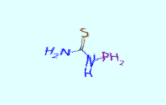 NC(=S)NP